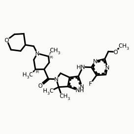 COCc1ncc(F)c(Nc2n[nH]c3c2CN(C(=O)C2C[C@@H](C)N(CC4CCOCC4)C[C@@H]2C)C3(C)C)n1